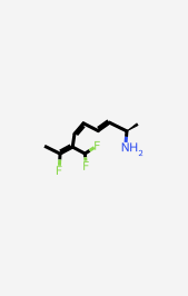 C\C(F)=C(/C=C\C=C\[C@@H](C)N)C(F)F